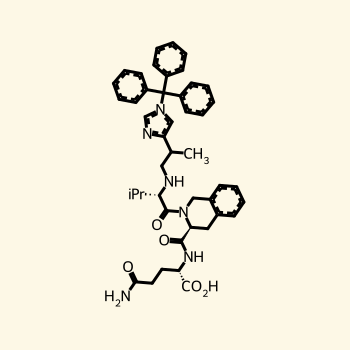 CC(CN[C@H](C(=O)N1Cc2ccccc2C[C@H]1C(=O)N[C@@H](CCC(N)=O)C(=O)O)C(C)C)c1cn(C(c2ccccc2)(c2ccccc2)c2ccccc2)cn1